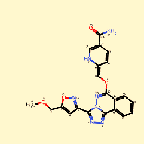 COCc1cc(-c2nnc3c4ccccc4c(OC=C4C=CC(C(N)=O)=CN4)nn23)no1